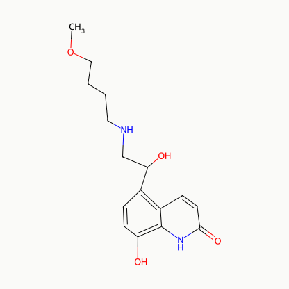 COCCCCNCC(O)c1ccc(O)c2[nH]c(=O)ccc12